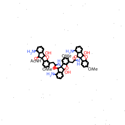 COc1ccc2c(c1)OC1(O)c3cccc(N)c3C(=O)C21NC(=O)Cc1c(OC)ccc2c1O[C@]1(O)c3cccc(N)c3C(=O)C21NC(=O)Cc1c(OC)ccc2c1O[C@@]1(O)c3cccc(N)c3C(=O)[C@@]21NC(C)=O